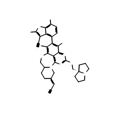 N#C/C=C1\CCC2COc3c(Cl)c(-c4ccc(F)c5sc(N)c(C#N)c45)c(F)c4nc(OC[C@@]56CCCN5C[C@H](F)C6)nc(c34)N2C1